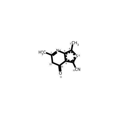 CC1=Nc2c(C)sc(C#N)c2C(=O)C1